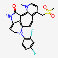 CN1C=CC(CS(C)(=O)=O)=c2ccc3c4c([nH]c(=O)c-4c21)=CCN3c1ccc(F)cc1F